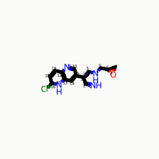 N=C/C(=C\NCC1CO1)c1cnc2c(c1)NC(Cl)C=C2